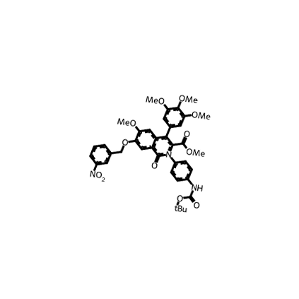 COC(=O)c1c(-c2cc(OC)c(OC)c(OC)c2)c2cc(OC)c(OCc3cccc([N+](=O)[O-])c3)cc2c(=O)n1-c1ccc(NC(=O)OC(C)(C)C)cc1